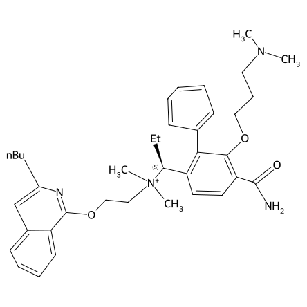 CCCCc1cc2ccccc2c(OCC[N+](C)(C)[C@@H](CC)c2ccc(C(N)=O)c(OCCCN(C)C)c2-c2ccccc2)n1